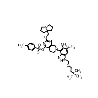 Cc1ccc(S(=O)(=O)Oc2nc(OCC34CCCN3CCC4)nc3c2CCN(c2c(C)c(C)cc4c2nnn4COCC[Si](C)(C)C)C3)cc1